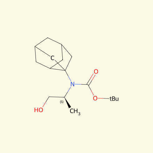 C[C@@H](CO)N(C(=O)OC(C)(C)C)C12CC3CC(CC1C3)C2